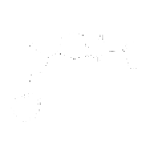 CNC(=O)c1nc2n(n1)CCN(C(=O)OCc1ccccc1)C2